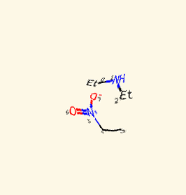 CCNCC.CC[N+](=O)[O-]